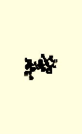 COP(=O)(COS(=O)(=O)c1c(C)cccc1Cl)OC(C)C